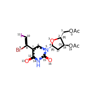 CC(=O)OC[C@H]1O[C@@H](n2cc(C(Br)=CI)c(=O)[nH]c2=O)C[C@@H]1OC(C)=O